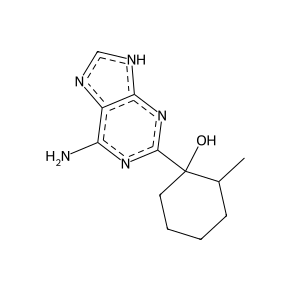 CC1CCCCC1(O)c1nc(N)c2nc[nH]c2n1